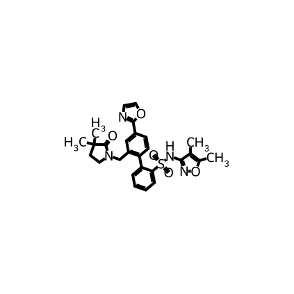 Cc1onc(NS(=O)(=O)c2ccccc2-c2ccc(-c3ncco3)cc2CN2CCC(C)(C)C2=O)c1C